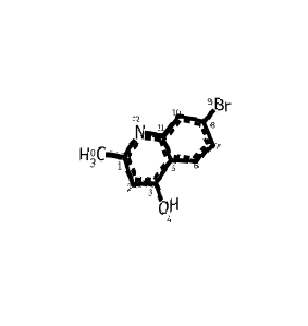 Cc1cc(O)c2ccc(Br)cc2n1